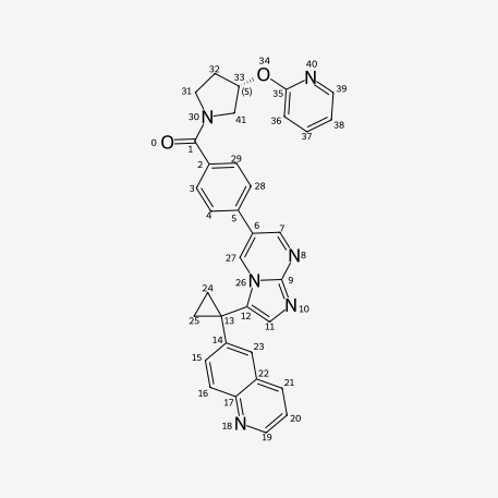 O=C(c1ccc(-c2cnc3ncc(C4(c5ccc6ncccc6c5)CC4)n3c2)cc1)N1CC[C@H](Oc2ccccn2)C1